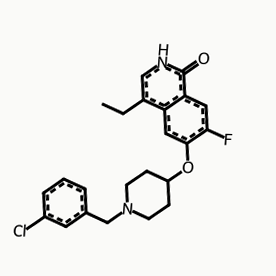 CCc1c[nH]c(=O)c2cc(F)c(OC3CCN(Cc4cccc(Cl)c4)CC3)cc12